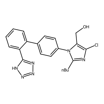 CCCCc1nc(Cl)c(CO)n1-c1ccc(-c2ccccc2-c2nnn[nH]2)cc1